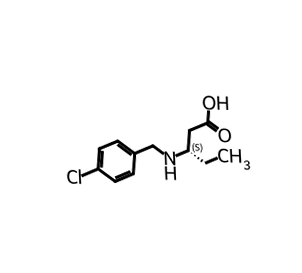 CC[C@@H](CC(=O)O)NCc1ccc(Cl)cc1